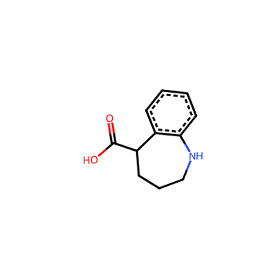 O=C(O)C1CCCNc2ccccc21